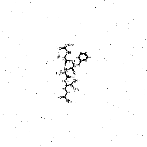 CCCCCCCCCC(=O)N[C@H](C(=O)N[C@@H](Cc1ccccc1)C(=O)NC(C)C(=O)NC(CCC(N)=O)C(C)O)C(C)C